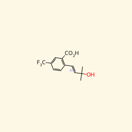 CC(C)(O)/C=C/c1ccc(C(F)(F)F)cc1C(=O)O